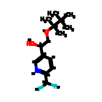 CC(C)(C)[Si](C)(C)OC[C@H](O)c1ccc(C(F)F)nc1